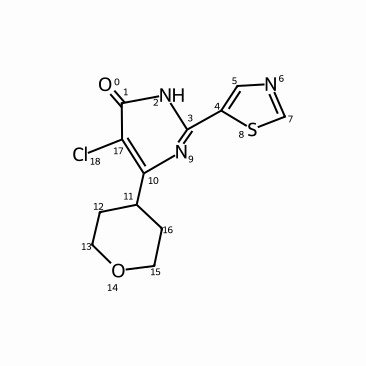 O=c1[nH]c(-c2cncs2)nc(C2CCOCC2)c1Cl